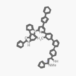 CN/C(=C\C(=N)c1ccc(-c2cccc(C3=CC=C(c4cc(-c5ccc(C6=CCCC=C6)cc5)cc(-n5c6ccccc6c6c7c(ccc65)NC(C5C=CC=CC5)O7)n4)C(C)C3)c2)cc1)c1ccccc1